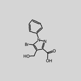 O=C(O)c1nn(-c2ccccc2)c(Br)c1CO